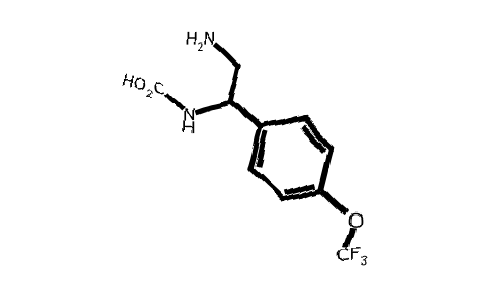 NCC(NC(=O)O)c1ccc(OC(F)(F)F)cc1